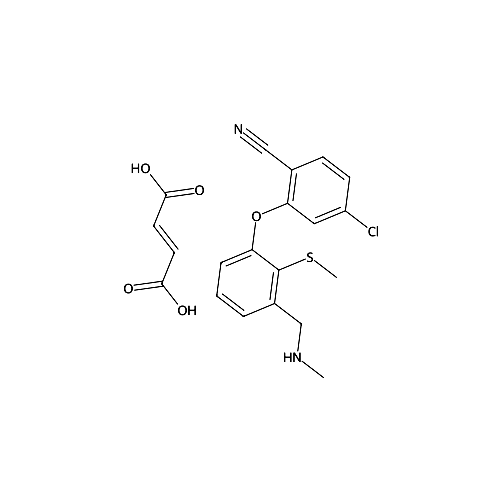 CNCc1cccc(Oc2cc(Cl)ccc2C#N)c1SC.O=C(O)C=CC(=O)O